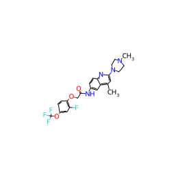 Cc1cc(N2CCN(C)CC2)nc2ccc(NC(=O)COc3ccc(OC(F)(F)F)cc3F)cc12